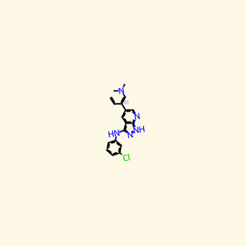 C=C/C(=C\N(C)C)c1cnc2[nH]nc(Nc3cccc(Cl)c3)c2c1